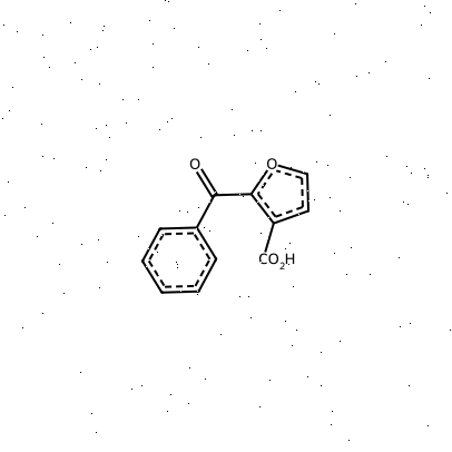 O=C(O)c1ccoc1C(=O)c1ccccc1